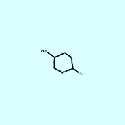 CCCC1CCC(C(C)=O)CC1